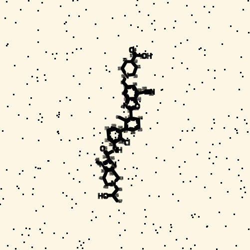 Cc1c(-c2nc3cc(CN4CCC(C(=O)O)CC4)cc(C#N)c3o2)cccc1-c1cccc(NC(=O)c2nc3c(n2C)CCN(CC(C)O)C3)c1Cl